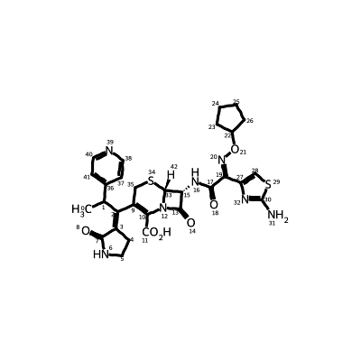 CC(C(=C1CCNC1=O)C1=C(C(=O)O)N2C(=O)[C@@H](NC(=O)C(=NOC3CCCC3)c3csc(N)n3)[C@H]2SC1)c1ccncc1